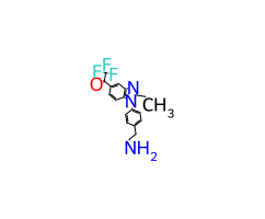 CCc1nc2cc(C(=O)C(F)(F)F)ccc2n1-c1ccc(CCN)cc1